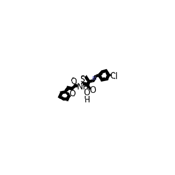 O=C(Nc1scc(/C=C/c2ccc(Cl)cc2)c1C(=O)O)c1cc2ccccc2o1